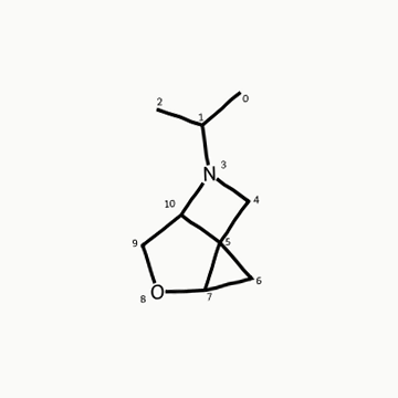 CC(C)N1CC23CC2OCC13